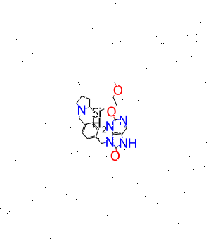 COCCOc1ncc2[nH]c(=O)n(Cc3ccc(CN4CCCC4[SiH2]C)cc3)c2n1